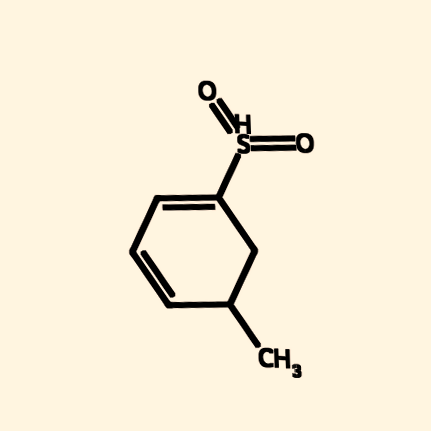 CC1C=CC=C([SH](=O)=O)C1